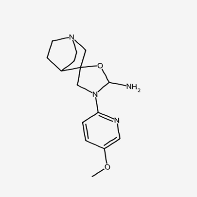 COc1ccc(N2CC3(CN4CCC3CC4)OC2N)nc1